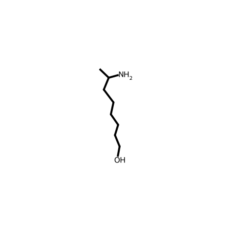 CC(N)CCCCCCO